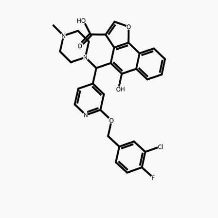 CN1CCN(C(c2ccnc(OCc3ccc(F)c(Cl)c3)c2)c2c(O)c3ccccc3c3occ(C(=O)O)c23)CC1